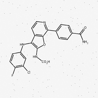 NC(=O)c1ccc(-c2nccc3c(Nc4ccc(F)c(Cl)c4)c(NC(=O)O)oc23)cc1